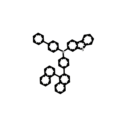 c1ccc(-c2ccc(N(c3ccc(-c4ccc5ccccc5c4-c4cccc5ccccc45)cc3)c3ccc4c(c3)sc3ccccc34)cc2)cc1